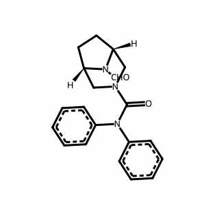 O=CN1[C@@H]2CC[C@H]1CN(C(=O)N(c1ccccc1)c1ccccc1)C2